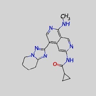 CNc1ncc(-c2nc3n(n2)CCCC3)c2cc(NC(=O)C3CC3)ncc12